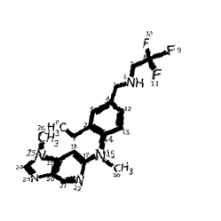 CCc1cc(CNCC(F)(F)F)ccc1N(C)c1cc2c(cn1)ncn2C